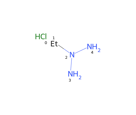 Cl.[CH2]CN(N)N